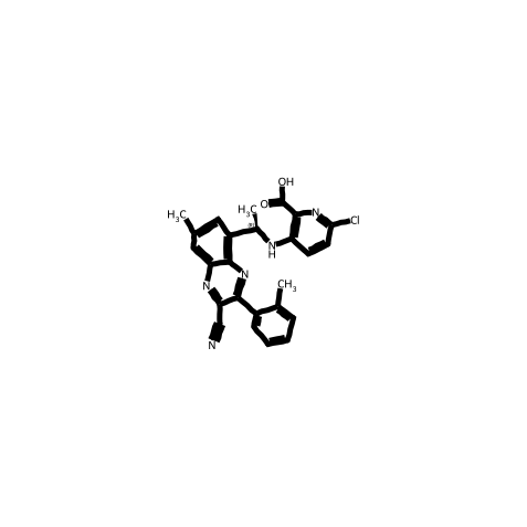 Cc1cc([C@@H](C)Nc2ccc(Cl)nc2C(=O)O)c2nc(-c3ccccc3C)c(C#N)nc2c1